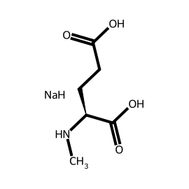 CN[C@@H](CCC(=O)O)C(=O)O.[NaH]